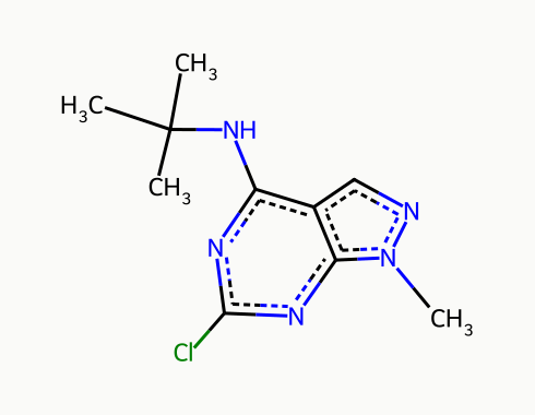 Cn1ncc2c(NC(C)(C)C)nc(Cl)nc21